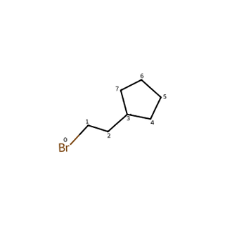 BrCC[C]1CCCC1